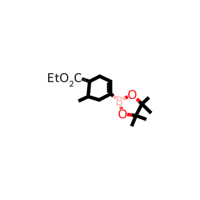 CCOC(=O)C1CC=C(B2OC(C)(C)C(C)(C)O2)CC1C